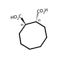 O=C(O)[C@@H]1CCCCCC[C@H]1C(=O)O